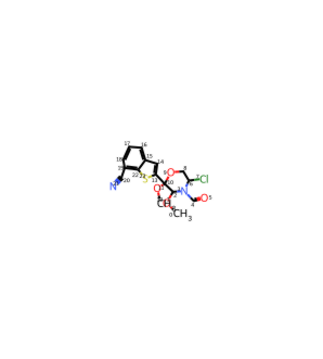 COC1N(C=O)C(Cl)COC1(OC)c1cc2cccc(C#N)c2s1